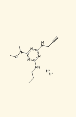 C#CCNc1nc(NCCC)nc(N(C)OC)n1.[H+].[H+]